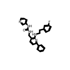 O=C(NCc1ccc(-c2ccccc2)nc1NCCc1cccc(F)c1)Nc1cccnc1